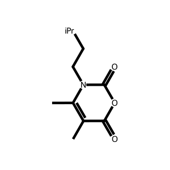 Cc1c(C)n(CCC(C)C)c(=O)oc1=O